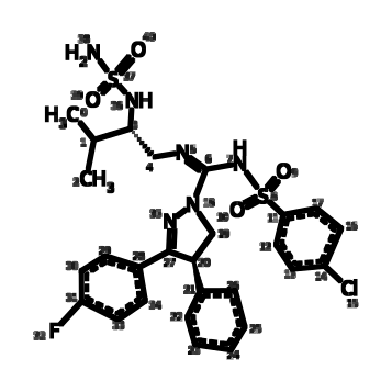 CC(C)[C@@H](C/N=C(/NS(=O)(=O)c1ccc(Cl)cc1)N1C[C@@H](c2ccccc2)C(c2ccc(F)cc2)=N1)NS(N)(=O)=O